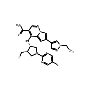 CCn1cc(-c2cc3c(N[C@@H]4CN(c5ncc(Cl)cn5)C[C@H]4CF)c(C(N)=O)cnn3c2)cn1